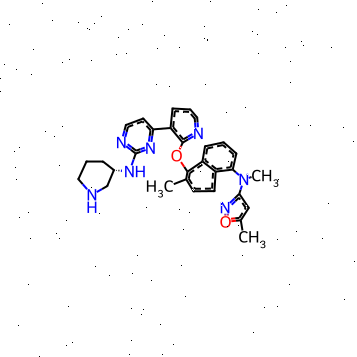 Cc1cc(N(C)c2cccc3c(Oc4ncccc4-c4ccnc(N[C@H]5CCCNC5)n4)c(C)ccc23)no1